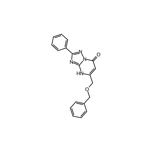 O=c1cc(COCc2ccccc2)[nH]c2nc(-c3ccccc3)nn12